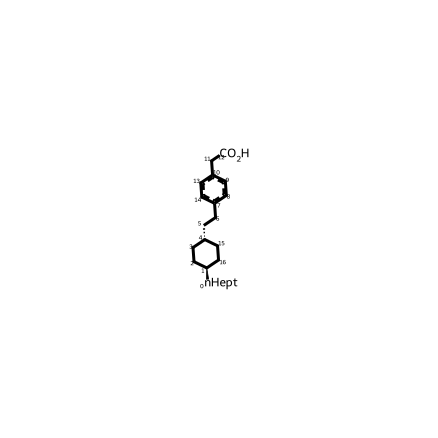 CCCCCCC[C@H]1CC[C@H](CCc2ccc(CC(=O)O)cc2)CC1